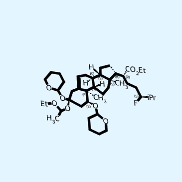 CCOC(=O)[C@H](CC[C@H](F)C(C)C)[C@H]1CC[C@H]2[C@@H]3CC=C4C[C@@](OC(C)OCC)(OC5CCCCO5)C[C@H](OC5CCCCO5)[C@]4(C)[C@H]3CC[C@]12C